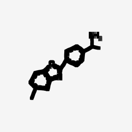 Cc1ccc2oc(-c3ccc(C(C)N)cc3)nc2c1